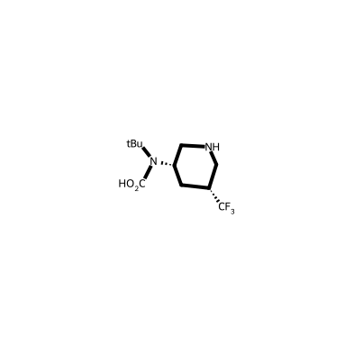 CC(C)(C)N(C(=O)O)[C@@H]1CNC[C@H](C(F)(F)F)C1